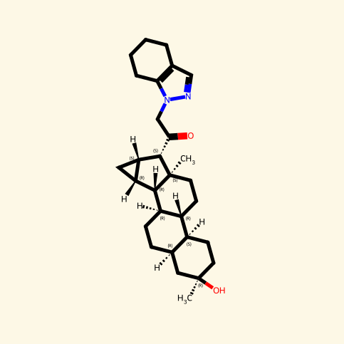 C[C@@]1(O)CC[C@H]2[C@H](CC[C@@H]3[C@@H]2CC[C@@]2(C)[C@H]3[C@@H]3C[C@@H]3[C@@H]2C(=O)Cn2ncc3c2CCCC3)C1